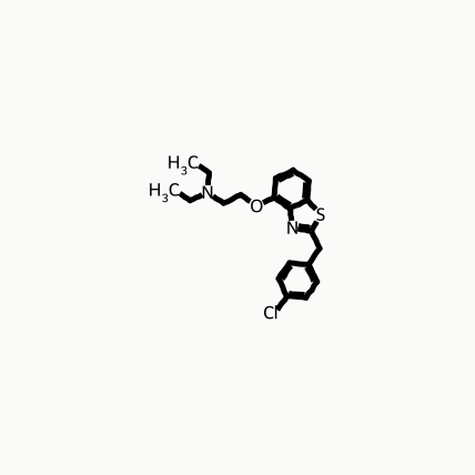 CCN(CC)CCOc1cccc2sc(Cc3ccc(Cl)cc3)nc12